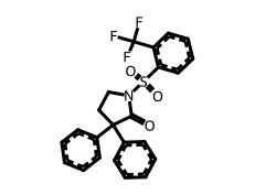 O=C1N(S(=O)(=O)c2ccccc2C(F)(F)F)CCC1(c1ccccc1)c1ccccc1